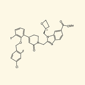 COC(=O)c1ccc2nc(CN3CCC(c4cccc(F)c4OCc4ccc(Cl)cc4F)=CC3=O)n(C[C@@H]3CCO3)c2c1